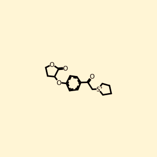 O=C(C[S+]1CCCC1)c1ccc(OC2CCOC2=O)cc1